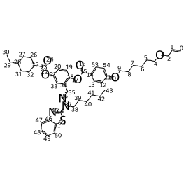 C=CCOCCCCCCOc1ccc(C(=O)Oc2ccc(OC(=O)C3CCC(CC)CC3)cc2C=NN(CCCCCC)c2nc3ccccc3s2)cc1